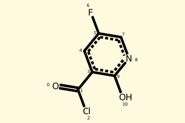 O=C(Cl)c1cc(F)cnc1O